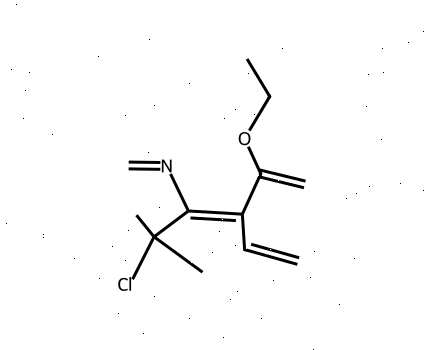 C=C/C(C(=C)OCC)=C(/N=C)C(C)(C)Cl